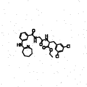 CCOC(=O)C(Cc1cc(Cl)cc(Cl)c1)NC(=O)CNC(=O)c1cccc(NC2=NCCCCC2)c1